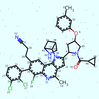 Cc1cccc(OC2CC(c3cc4c(C)nc5c(F)c(-c6cccc(Cl)c6Cl)c(CCC#N)cc5c4n3C3C4CNC3C4)N(C(=O)C3CC3)C2)c1